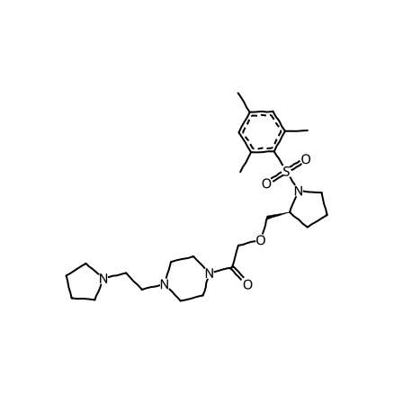 Cc1cc(C)c(S(=O)(=O)N2CCC[C@H]2COCC(=O)N2CCN(CCN3CCCC3)CC2)c(C)c1